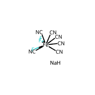 N#[C][Fe]([F])([F])([F])([C]#N)([C]#N)([C]#N)([C]#N)[C]#N.[NaH]